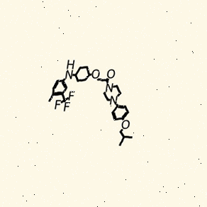 Cc1ccc(NC2CCC(OCC(=O)N3CCN(c4ccc(OCC(C)C)cc4)CC3)CC2)cc1C(F)(F)F